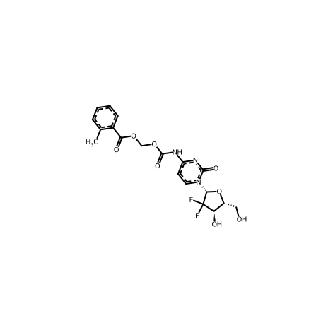 Cc1ccccc1C(=O)OCOC(=O)Nc1ccn([C@@H]2O[C@H](CO)[C@@H](O)C2(F)F)c(=O)n1